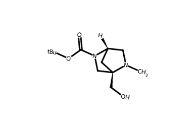 CN1C[C@@H]2C[C@@]1(CO)CN2C(=O)OC(C)(C)C